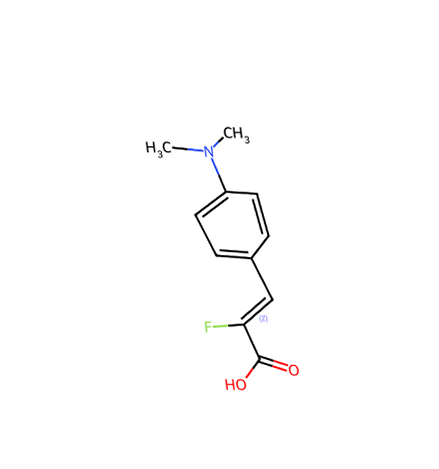 CN(C)c1ccc(/C=C(\F)C(=O)O)cc1